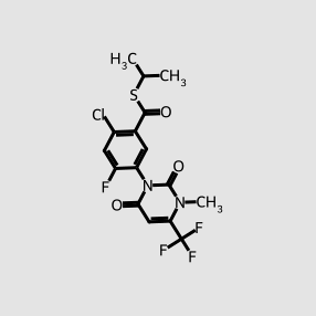 CC(C)SC(=O)c1cc(-n2c(=O)cc(C(F)(F)F)n(C)c2=O)c(F)cc1Cl